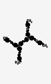 C=Cc1ccc(COCCc2ccc(N(c3ccc(CCOCc4ccc(C=C)cc4)cc3)c3ccc(CCc4ccc(N(c5ccc(CCOCc6ccc(C=C)cc6)cc5)c5ccc(CCOCc6ccc(C=C)cc6)cc5)cc4)cc3)cc2)cc1